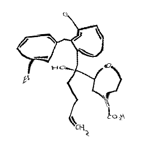 C=CCC[C@](O)(c1cccc(Cl)c1-c1cccc(CC)c1)C1CN(C(=O)O)CCO1